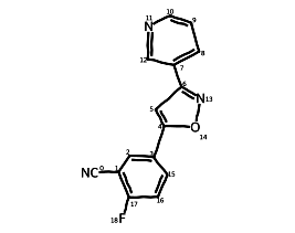 N#Cc1cc(-c2cc(-c3cccnc3)no2)ccc1F